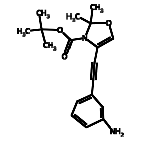 CC(C)(C)OC(=O)N1C(C#Cc2cccc(N)c2)=COC1(C)C